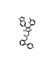 Cc1cccc(-c2nc(CN(I)Cc3ccccc3-c3ccncc3)[nH]c2-c2ccc3ncnn3c2)n1